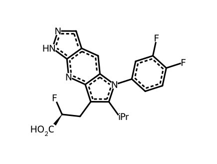 CC(C)c1c(C[C@H](F)C(=O)O)c2nc3[nH]ncc3cc2n1-c1ccc(F)c(F)c1